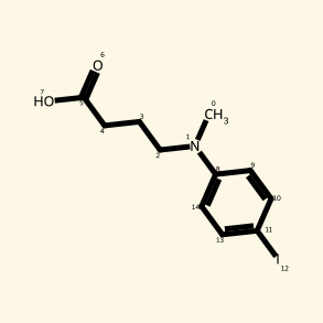 CN(CCCC(=O)O)c1ccc(I)cc1